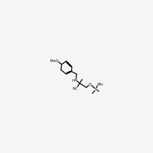 COC1C=CC(CNC(C)(C#N)CO[Si](C)(C)C(C)(C)C)=CC1